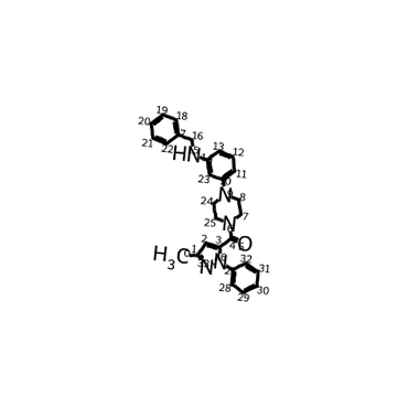 Cc1cc(C(=O)N2CCN(c3cccc(NCc4ccccc4)c3)CC2)n(-c2ccccc2)n1